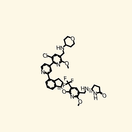 COc1nc(O[C@H]2CCc3c(-c4cc(-c5nc(OC)c(CNC6CCOCC6)cc5Cl)ccn4)cccc32)c(C(F)(F)F)cc1CN[C@@H]1CCC(=O)N1